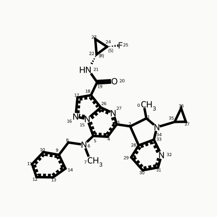 CC1C(c2cc(N(C)Cc3ccccc3)n3ncc(C(=O)N[C@@H]4C[C@@H]4F)c3n2)c2cccnc2N1C1CC1